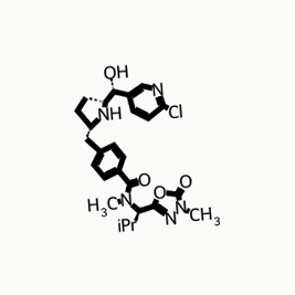 CC(C)[C@H](c1nn(C)c(=O)o1)N(C)C(=O)c1ccc(C[C@@H]2CC[C@H]([C@H](O)c3ccc(Cl)nc3)N2)cc1